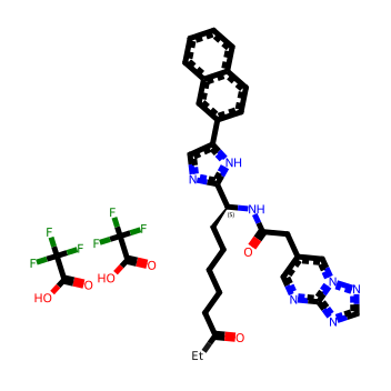 CCC(=O)CCCCC[C@H](NC(=O)Cc1cnc2ncnn2c1)c1ncc(-c2ccc3ccccc3c2)[nH]1.O=C(O)C(F)(F)F.O=C(O)C(F)(F)F